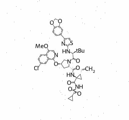 C=C[C@@H]1C[C@]1(NC(=O)[C@@H]1C[C@@H](Oc2ncc(OC)c3ccc(Cl)cc23)CN1C(=O)[C@@H](Nc1nc(-c2ccc3c(c2)OCO3)cs1)C(C)(C)C)C(=O)NS(=O)(=O)C1CC1